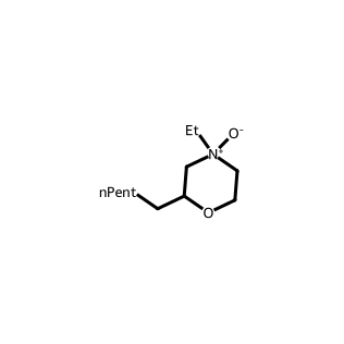 CCCCCCC1C[N+]([O-])(CC)CCO1